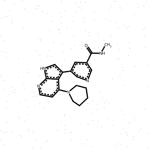 CNC(=O)c1cncc(-c2c[nH]c3nccc(N4CCCCC4)c23)c1